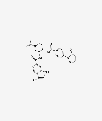 CC(=O)N1CC[C@H](NC(=O)c2ccc(-n3ccccc3=O)cc2)[C@H](NC(=O)c2ccc3c(Cl)c[nH]c3c2)C1